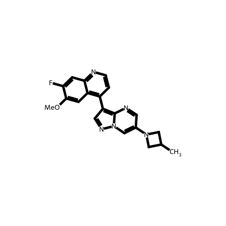 COc1cc2c(-c3cnn4cc(N5CC(C)C5)cnc34)ccnc2cc1F